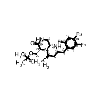 C=C(C[C@H](N)Cc1cc(F)c(F)cc1F)N1CCNC(=O)[C@H]1COC(C)(C)C